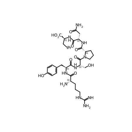 CC(C)C[C@H](NC(=O)[C@H](CC(N)=O)NC(=O)[C@@H]1CCCN1C(=O)[C@H](CO)NC(=O)[C@H](Cc1ccc(O)cc1)NC(=O)[C@@H](N)CCCNC(=N)N)C(=O)O